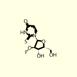 O=c1ccn([C@@H]2O[C@H](CO)[C@H](O)[C@H]2OF)c(=S)[nH]1